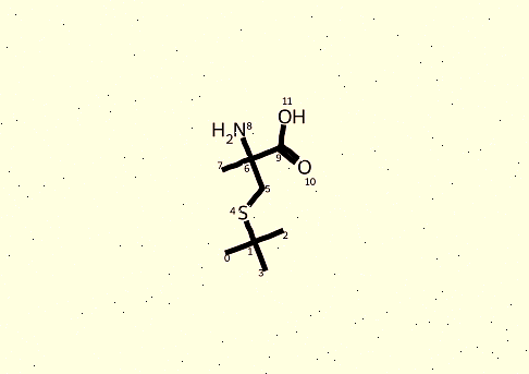 CC(C)(C)SCC(C)(N)C(=O)O